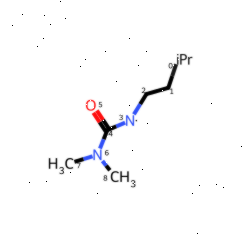 CC(C)CC[N]C(=O)N(C)C